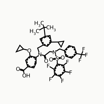 CC(C)(C)c1cc(CN(C(=O)CN(Cc2ccc(C(F)(F)F)cc2)S(=O)(=O)c2c(F)c(F)c(F)c(F)c2F)c2ccc(C(=O)O)cc2OC2CC2)cc(C2CC2)c1